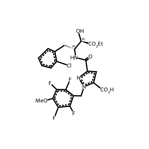 CCOC(=O)[C@H](O)[C@@H](Cc1ccccc1Cl)NC(=O)c1cc(C(=O)O)n(Cc2c(F)c(F)c(OC)c(F)c2F)n1